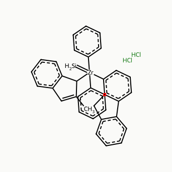 CC1=Cc2ccccc2[CH]1[Zr](=[SiH2])([c]1ccccc1)([c]1ccccc1)[c]1cccc2c1Cc1ccccc1-2.Cl.Cl